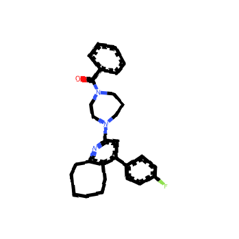 O=C(c1ccccc1)N1CCCN(c2cc(-c3ccc(F)cc3)c3c(n2)CCCCCC3)CC1